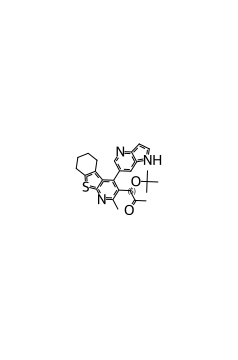 CC(=O)[C@@H](OC(C)(C)C)c1c(C)nc2sc3c(c2c1-c1cnc2cc[nH]c2c1)CCCC3